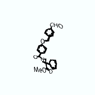 COC(=O)C1(c2ccccc2)CN(C(=O)c2ccc(OCc3ccc(C=O)cc3)cc2)C1